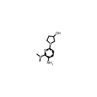 CN(C)c1nc(N2CCC(O)C2)ccc1N